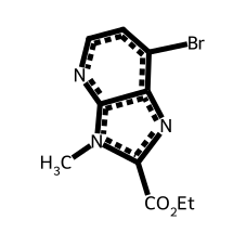 CCOC(=O)c1nc2c(Br)ccnc2n1C